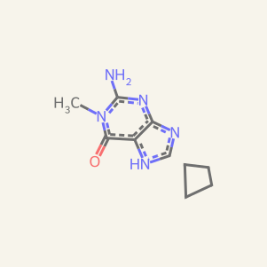 C1CCC1.Cn1c(N)nc2nc[nH]c2c1=O